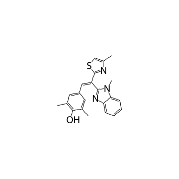 Cc1csc(/C(=C/c2cc(C)c(O)c(C)c2)c2nc3ccccc3n2C)n1